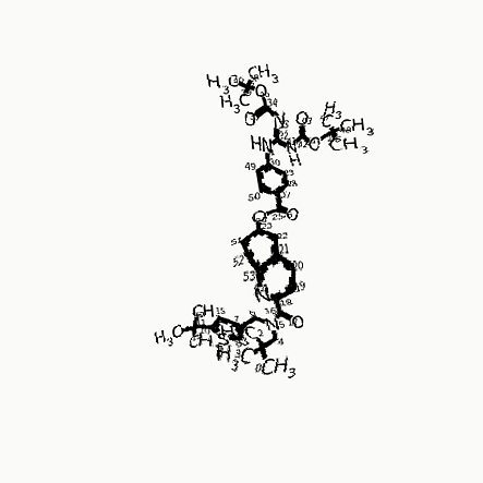 CC(C)(C)CN(Cc1csc(C(C)(C)C)c1)C(=O)c1ccc2cc(OC(=O)c3ccc(N/C(=N\C(=O)OC(C)(C)C)NC(=O)OC(C)(C)C)cc3)ccc2n1